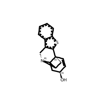 O[C@@H]1C=C[C@]23CC4[N@](Cc5c2sc2ccccc52)C43C1